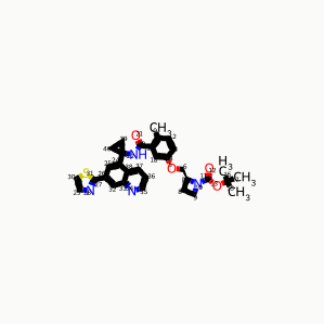 Cc1ccc(OC[C@@H]2CCN2C(=O)OC(C)(C)C)cc1C(=O)NC1(c2cc(-c3nccs3)cc3ncccc23)CC1